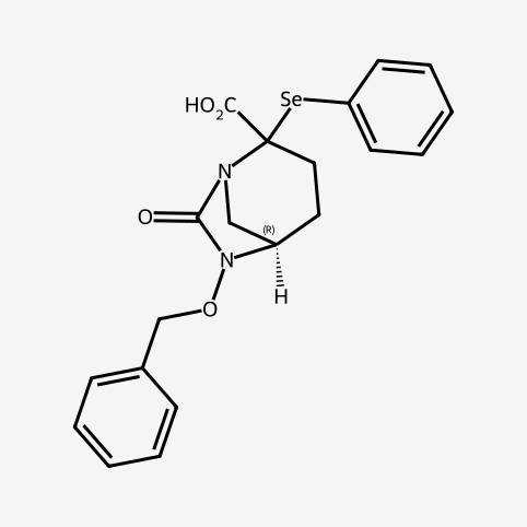 O=C1N(OCc2ccccc2)[C@@H]2CCC([Se]c3ccccc3)(C(=O)O)N1C2